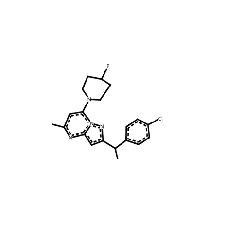 Cc1cc(N2CCC(F)CC2)n2nc(C(C)c3ccc(Cl)cc3)cc2n1